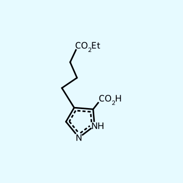 CCOC(=O)CCCc1cn[nH]c1C(=O)O